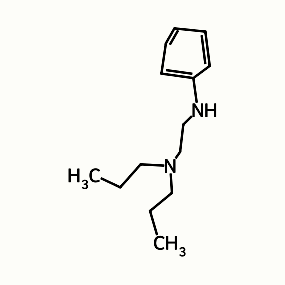 CCCN(CCC)CCNc1ccccc1